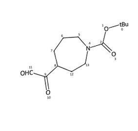 CC(C)(C)OC(=O)N1CCCC(C(=O)C=O)CC1